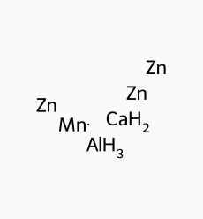 [AlH3].[CaH2].[Mn].[Zn].[Zn].[Zn]